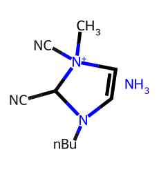 CCCCN1C=C[N+](C)(C#N)C1C#N.N